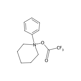 O=C(O[N+]1(c2ccccc2)CCCCC1)C(F)(F)F